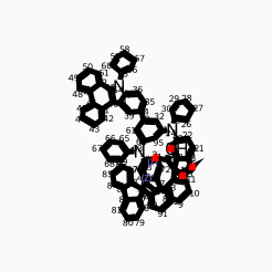 C=C1/C=C\C=C/Cc2ccccc2C12c1ccccc1-c1ccc(N(c3ccccc3)c3cc(-c4ccc5c(c4)c4c6ccccc6c6ccccc6c4n5-c4ccccc4)cc(N(c4ccccc4)c4ccc5c(c4)C4(c6ccccc6-c6ccccc64)c4ccccc4-5)c3)cc12